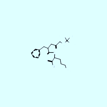 CCCCC(NC(=O)C(CC(=O)C[S+]([O-])C(C)(C)C)Cc1ccccc1)C(N)=O